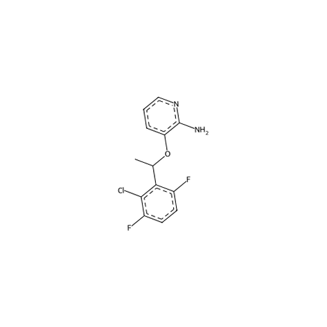 CC(Oc1cccnc1N)c1c(F)ccc(F)c1Cl